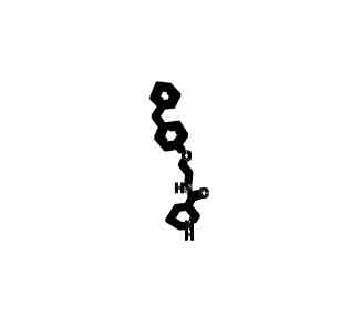 O=C(NCCOc1ccc(Cc2ccccc2)cc1)C1CCCNC1